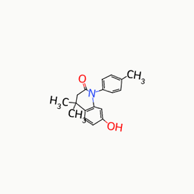 Cc1ccc(N2C(=O)CC(C)(C)c3ccc(O)cc32)cc1